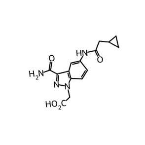 NC(=O)c1nn(CC(=O)O)c2ccc(NC(=O)CC3CC3)cc12